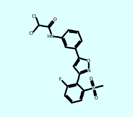 CS(=O)(=O)c1cccc(F)c1-c1cc(-c2cccc(NC(=O)C(Cl)Cl)c2)on1